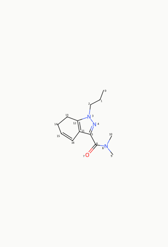 CCCn1nc(C(=O)N(C)C)c2c1CCC=C2